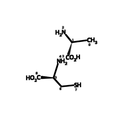 C[C@@H](N)C(=O)O.N[C@@H](CS)C(=O)O